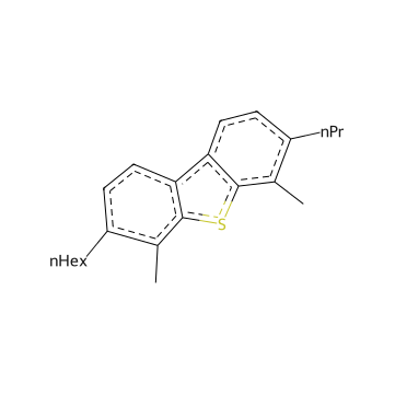 CCCCCCc1ccc2c(sc3c(C)c(CCC)ccc32)c1C